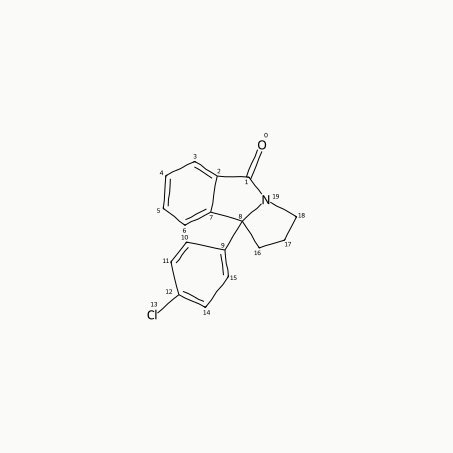 O=C1c2ccccc2C2(c3ccc(Cl)cc3)CCCN12